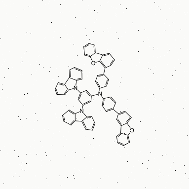 c1ccc2c(c1)oc1ccc(-c3ccc(N(c4ccc(-c5cccc6c5oc5ccccc56)cc4)c4cc(-n5c6ccccc6c6ccccc65)cc(-n5c6ccccc6c6ccccc65)c4)cc3)cc12